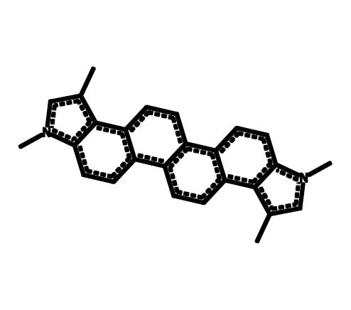 Cc1cn(C)c2ccc3c4ccc5c(ccc6c5c(C)cn6C)c4ccc3c12